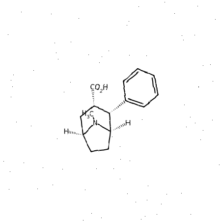 CN1[C@H]2CC[C@@H]1[C@@H](c1ccccc1)[C@@H](C(=O)O)C2